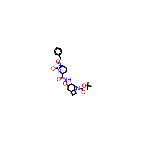 CC(C)(C)OC(=O)N1C2CC(ONC(=O)[C@@H]3CCC4CN3C(=O)N4OCc3ccccc3)CC3CCC321